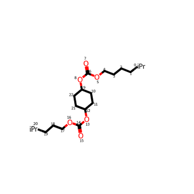 CC(C)CCCCOC(=O)OC1CCC(OC(=O)OCCCC(C)C)CC1